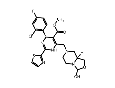 COC(=O)C1=C(CN2CCN3C(O)OC[C@H]3C2)NC(c2nccs2)=N[C@H]1c1ccc(F)cc1Cl